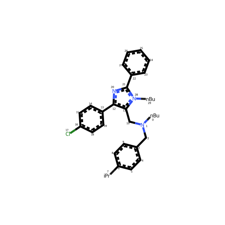 CCCCN(Cc1ccc(C(C)C)cc1)Cc1c(-c2ccc(Cl)cc2)nc(-c2ccccc2)n1CCCC